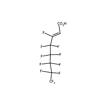 O=C(O)C=C(F)C(F)(F)C(F)(F)C(F)(F)C(F)(F)C(F)(F)F